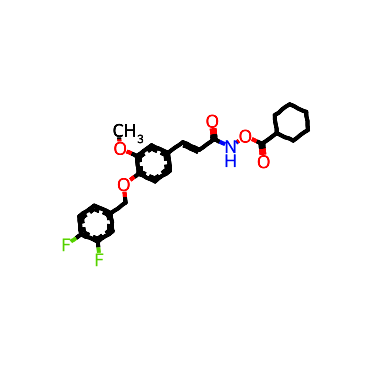 COc1cc(C=CC(=O)NOC(=O)C2CCCCC2)ccc1OCc1ccc(F)c(F)c1